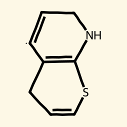 [C]1=CCNC2=C1CC=CS2